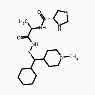 C[C@@H](NC(=O)[C@@H]1CSCN1)C(=O)NSC(C1CCCCC1)C1CCN(C)CC1